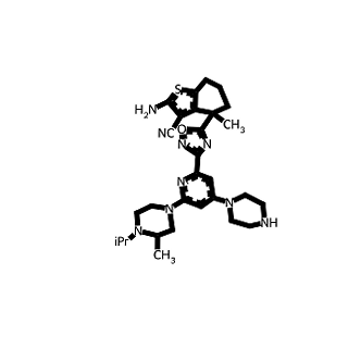 CC(C)N1CCN(c2cc(N3CCNCC3)cc(-c3noc(C4(C)CCCc5sc(N)c(C#N)c54)n3)n2)CC1C